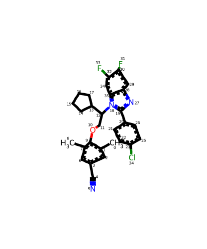 Cc1cc(C#N)cc(C)c1OCC(C1CCCC1)n1c(-c2ccc(Cl)cc2)nc2cc(F)c(F)cc21